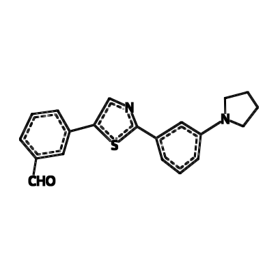 O=Cc1cccc(-c2cnc(-c3cccc(N4CCCC4)c3)s2)c1